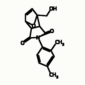 Cc1ccc(N2C(=O)C3C4C=CC(CO)(O4)C3C2=O)c(C)c1